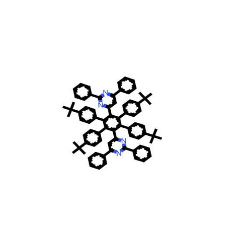 CC(C)(C)c1ccc(-c2c(-c3ccc(C(C)(C)C)cc3)c(-c3cc(-c4ccccc4)nc(-c4ccccc4)n3)c(-c3ccc(C(C)(C)C)cc3)c(-c3ccc(C(C)(C)C)cc3)c2-c2cc(-c3ccccc3)nc(-c3ccccc3)n2)cc1